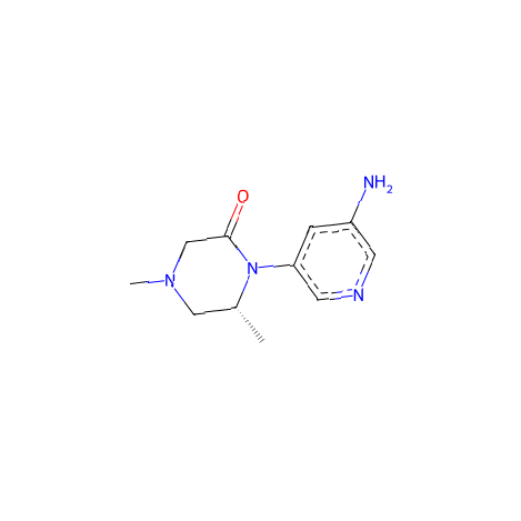 C[C@@H]1CN(C)CC(=O)N1c1cncc(N)c1